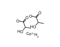 CC(O)C(=O)[O-].CC(O)C(=O)[O-].[GeH2+2]